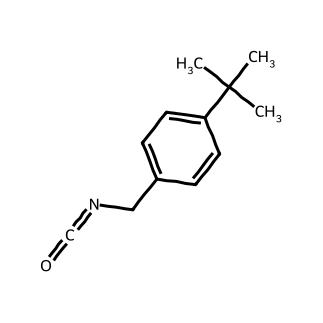 CC(C)(C)c1ccc(CN=C=O)cc1